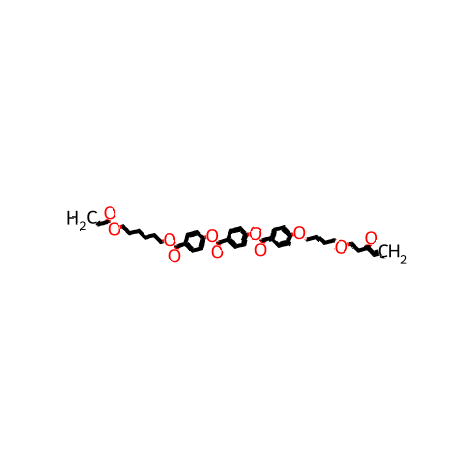 C=CC(=O)CCOCCCCOc1ccc(C(=O)Oc2ccc(C(=O)Oc3ccc(C(=O)OCCCCCCOC(=O)C=C)cc3)cc2)cc1